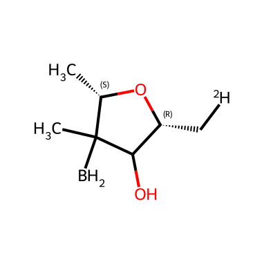 [2H]C[C@H]1O[C@@H](C)C(B)(C)C1O